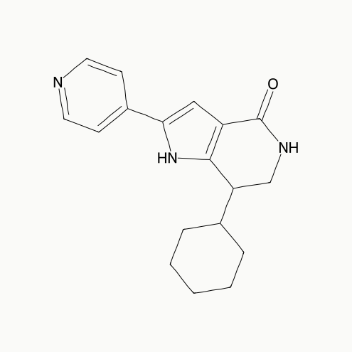 O=C1NCC(C2CCCCC2)c2[nH]c(-c3ccncc3)cc21